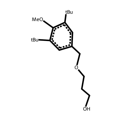 COc1c(C(C)(C)C)cc(COCCCO)cc1C(C)(C)C